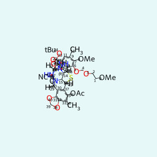 COCCOCOc1c(OC)c(C)cc2c1[C@@H]1C3[C@@H]4SCC(NC(=O)OC(C)(C)C)C(=O)NC[C@@H](c5c6c(c(C)c(OC(C)=O)c54)OCO6)N3[C@@H](C#N)[C@H](C2)N1C